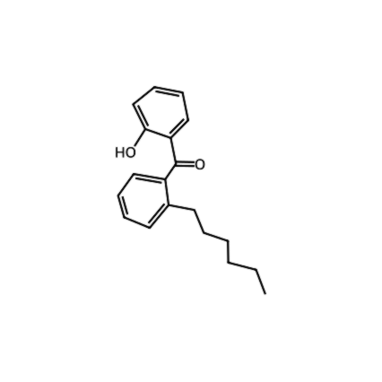 CCCCCCc1ccccc1C(=O)c1ccccc1O